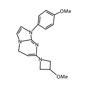 COc1ccc(N2C=CN3CC=C(N4CC(OC)C4)N=C32)cc1